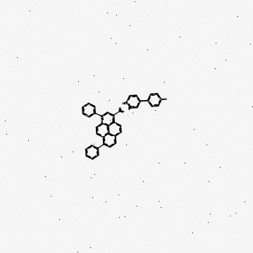 Fc1ccc(-c2ccc3oc(-c4cc(-c5ccccc5)c5ccc6c(-c7ccccc7)ccc7ccc4c5c76)nc3c2)cc1